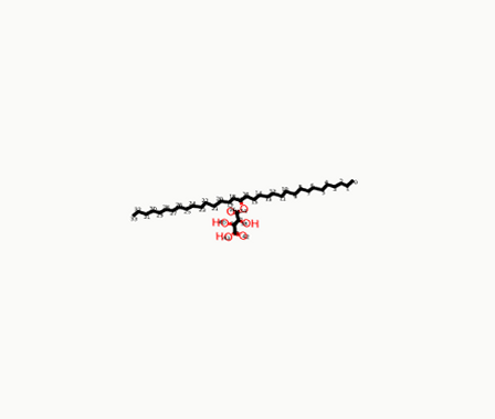 CCCCCCCCCCCCCCCCCC(CCCCCCCCCCCCCCCC)OC(=O)C(O)C(O)C(=O)O